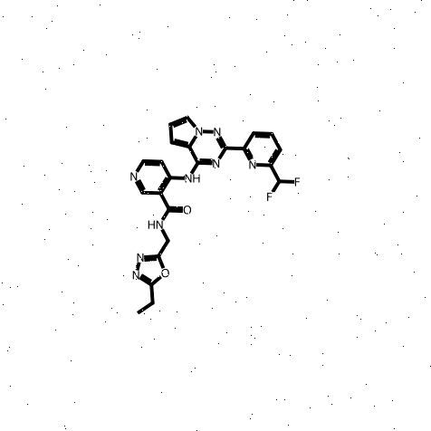 CCc1nnc(CNC(=O)c2cnccc2Nc2nc(-c3cccc(C(F)F)n3)nn3cccc23)o1